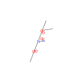 CCCCCCCCCOC(=O)CCCCCCCN(CCCCCCCC(=O)OC(CCCCCCCC)CCCCCCCC)CCCN(C)[S+](C)[O-]